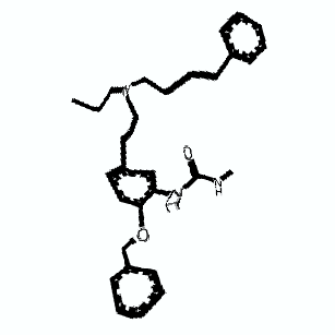 CCCN(CCCCc1ccccc1)CCc1ccc(OCc2ccccc2)c(NC(=O)NC)c1